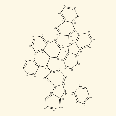 c1ccc(N(c2ccc3c(c2)c2ccccc2n3-c2ccccc2)c2cc3c(c4ccccc24)-c2cc4ccccc4cc2C32c3ccccc3-c3ccccc32)cc1